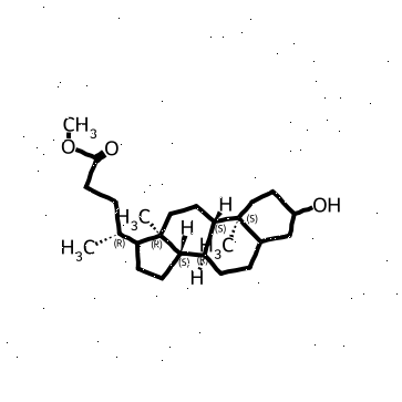 COC(=O)CC[C@@H](C)C1CC[C@H]2[C@@H]3CCC4CC(O)CC[C@]4(C)[C@H]3CC[C@]12C